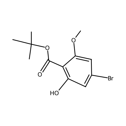 COc1cc(Br)cc(O)c1C(=O)OC(C)(C)C